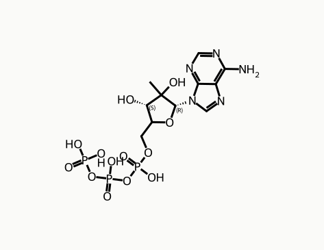 CC1(O)[C@@H](O)C(COP(=O)(O)OP(=O)(O)OP(=O)(O)O)O[C@H]1n1cnc2c(N)ncnc21